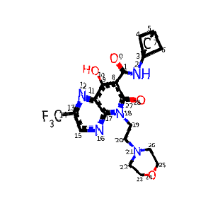 O=C(NC12CC(C1)C2)c1c(O)c2nc(C(F)(F)F)cnc2n(CCN2CCOCC2)c1=O